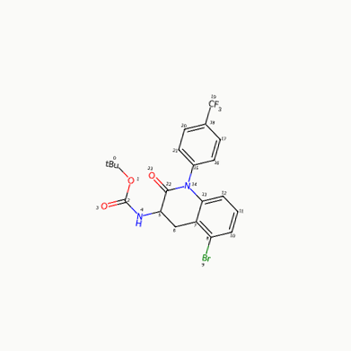 CC(C)(C)OC(=O)NC1Cc2c(Br)cccc2N(c2ccc(C(F)(F)F)cc2)C1=O